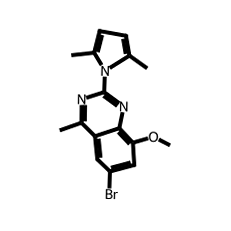 COc1cc(Br)cc2c(C)nc(-n3c(C)ccc3C)nc12